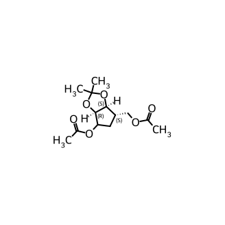 CC(=O)OC[C@@H]1CC(OC(C)=O)[C@H]2OC(C)(C)O[C@@H]12